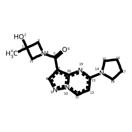 CC1(O)CN(C(=O)c2cnn3ccc(N4CCCC4)nc23)C1